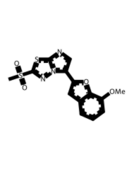 COc1cccc2cc(-c3cnc4sc(S(C)(=O)=O)nn34)oc12